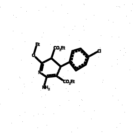 CCOC(=O)C1=C(N)N=C(OCC)C(C(=O)OCC)C1c1ccc(Cl)cc1